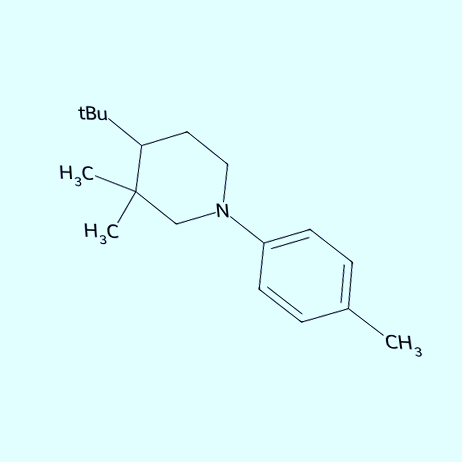 Cc1ccc(N2CCC(C(C)(C)C)C(C)(C)C2)cc1